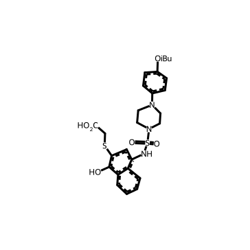 CC(C)COc1ccc(N2CCN(S(=O)(=O)Nc3cc(SCC(=O)O)c(O)c4ccccc34)CC2)cc1